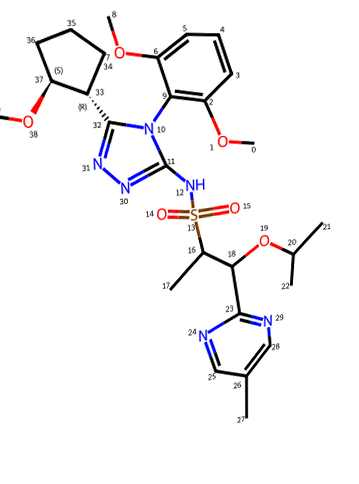 COc1cccc(OC)c1-n1c(NS(=O)(=O)C(C)C(OC(C)C)c2ncc(C)cn2)nnc1[C@H]1CCC[C@@H]1OC